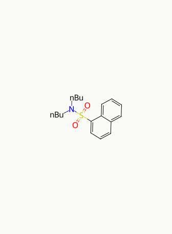 CCCCN(CCCC)S(=O)(=O)c1cccc2ccccc12